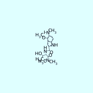 COc1c(N(C)I)ccc2[nH]c(C(=O)N[C@H](C(=O)N(C)C)[C@@H](C)O)cc12